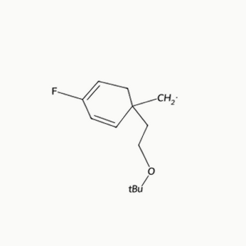 [CH2]C1(CCOC(C)(C)C)C=CC(F)=CC1